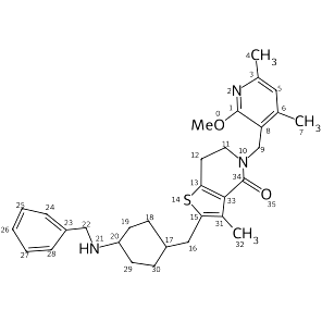 COc1nc(C)cc(C)c1CN1CCc2sc(CC3CCC(NCc4ccccc4)CC3)c(C)c2C1=O